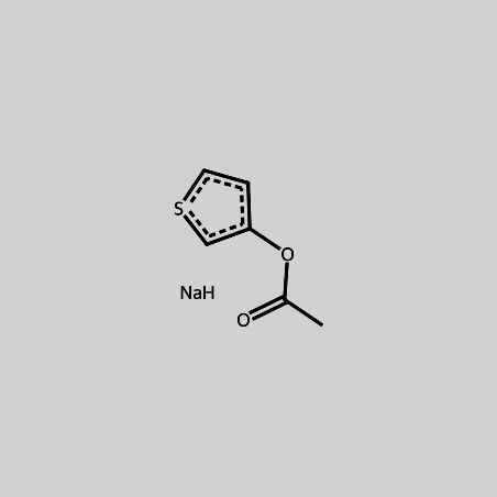 CC(=O)Oc1ccsc1.[NaH]